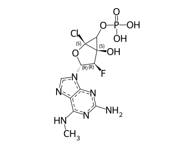 CNc1nc(N)nc2c1ncn2[C@@H]1O[C@]2(Cl)C(OP(=O)(O)O)[C@]2(O)[C@H]1F